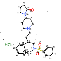 CN(CC(CCN1CCC(N2CCCC2=O)CC1)c1ccccc1)S(=O)(=O)c1ccccc1.Cl